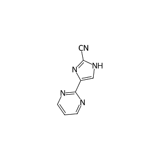 N#Cc1nc(-c2ncccn2)c[nH]1